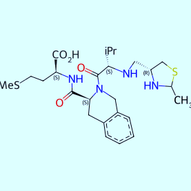 CSCC[C@H](NC(=O)[C@@H]1Cc2ccccc2CN1C(=O)[C@@H](NC[C@@H]1CSC(C)N1)C(C)C)C(=O)O